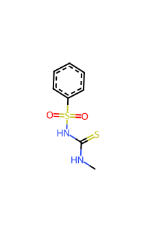 CNC(=S)NS(=O)(=O)c1ccccc1